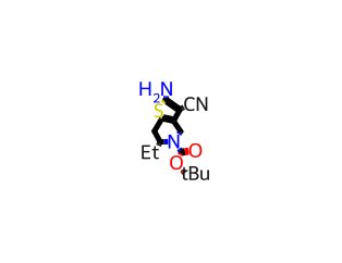 CCC1Cc2sc(N)c(C#N)c2CN1C(=O)OC(C)(C)C